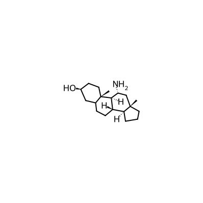 C[C@@]12CCC[C@H]1[C@@H]1CCC3C[C@@H](O)CC[C@]3(C)[C@H]1[C@H](N)C2